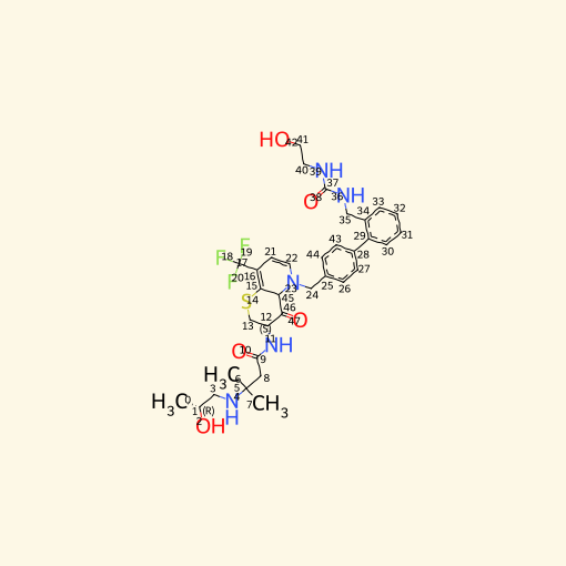 C[C@@H](O)CNC(C)(C)CC(=O)N[C@@H]1CSC2=C(C(F)(F)F)C=CN(Cc3ccc(-c4ccccc4CNC(=O)NCCO)cc3)C2C1=O